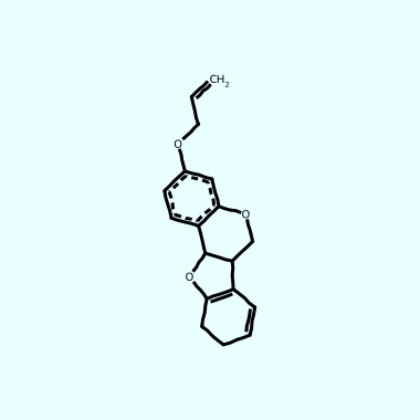 C=CCOc1ccc2c(c1)OCC1C3=C(CCC=C3)OC21